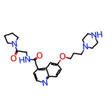 O=C(NCC(=O)N1CCCC1)c1ccnc2ccc(OCCCN3CCNCC3)cc12